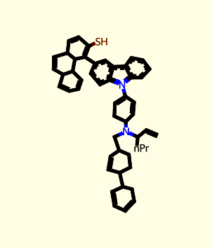 C=CC(CCC)N(CC1C=CC(C2C=CC=CC2)CC1)C1C=CC(n2c3ccccc3c3cc(C4=C(S)C=CC5C=CC6C=CC=CC6C45)ccc32)=CC1